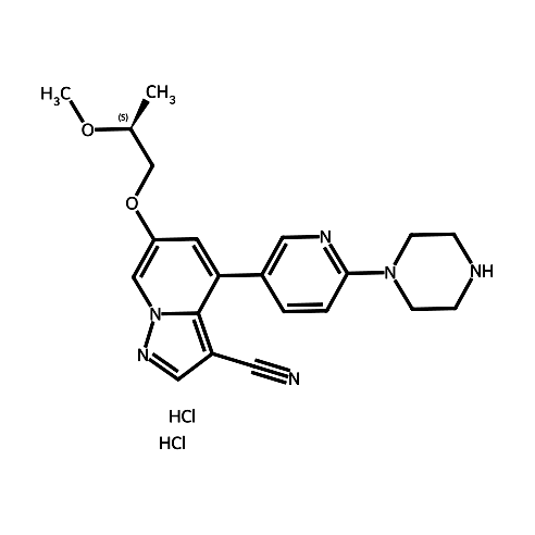 CO[C@@H](C)COc1cc(-c2ccc(N3CCNCC3)nc2)c2c(C#N)cnn2c1.Cl.Cl